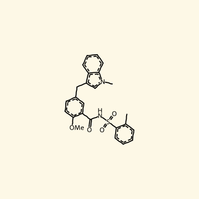 COc1ccc(Cc2cn(C)c3ccccc23)cc1C(=O)NS(=O)(=O)c1ccccc1C